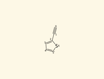 C#Cc1cc[c]s1